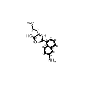 CSCC[C@H](NC(=S)c1cccc2cc(N)ccc12)C(=O)O